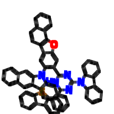 c1ccc2cc3c(cc2c1)c1cc2ccccc2cc1n3-c1cc2c(cc1C1=NC(n3c4ccccc4c4ccccc43)=NC(c3cccc4c3sc3ccccc34)N1)oc1c3ccccc3ccc21